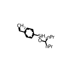 C=Cc1ccc([SiH2]OC(CCC)CCC)cc1